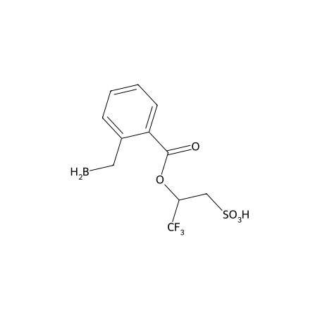 BCc1ccccc1C(=O)OC(CS(=O)(=O)O)C(F)(F)F